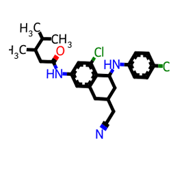 CC(C)C(C)CC(=O)Nc1cc(Cl)c2c(c1)CC(CC#N)CC2Nc1ccc(Cl)cc1